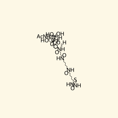 CC(=O)N[C@H]1C(O)CC(Oc2ccc(NC(=O)CCC(=O)NCCCCCCNC(=O)CCCCC3SCC4NC(=O)NC43)cc2C(F)F)(C(=O)O)OC1[C@H](O)[C@H](O)CO